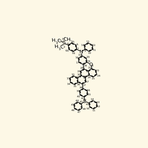 C[Si](C)(C)c1ccc(N(c2ccccc2)c2ccc3c(c2)Oc2cccc4c2c-3cc2c3ccccc3c(-c3ccc(B(c5ccccc5)c5ccccc5)cc3)cc42)cc1